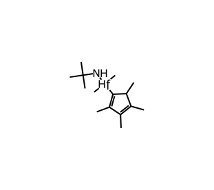 CC1=C(C)C(C)[C]([Hf]([CH3])([CH3])[NH]C(C)(C)C)=C1C